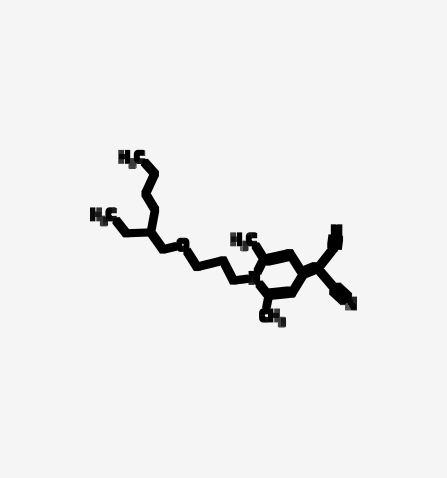 CCCCC(CC)COCCCN1C(C)=CC(=C(C#N)C#N)C=C1C